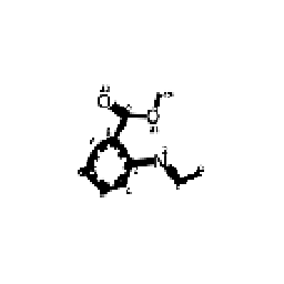 C/C=N/c1ccccc1C(=O)OC